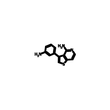 Nc1cccc(-c2csc3ccnc(N)c23)c1